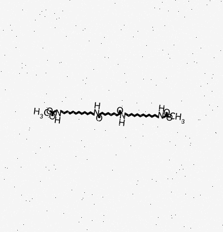 COC(=O)CNCCCCCCCCCCCCNC(=O)CCCCCCC(=O)NCCCCCCCCCCCCNCC(=O)OC